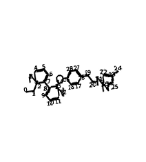 CCc1ncccc1-c1cccnc1Oc1ccc(CCn2cc(C)cn2)cc1